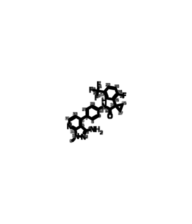 Cn1nc(N)c2c(-c3ccc(NC(=O)C4(c5cc(C(F)(F)F)ccc5F)CC4)cc3)ccnc21